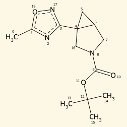 Cc1nc(C23CC2CN(C(=O)OC(C)(C)C)C3)no1